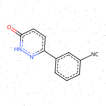 [C-]#[N+]c1cccc(-c2ccc(=O)[nH]n2)c1